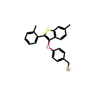 Cc1ccc2c(Oc3ccc(CBr)cc3)c(-c3ccccc3C)sc2c1